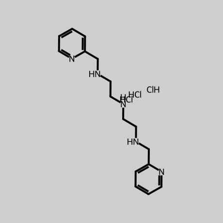 Cl.Cl.Cl.c1ccc(CNCCNCCNCc2ccccn2)nc1